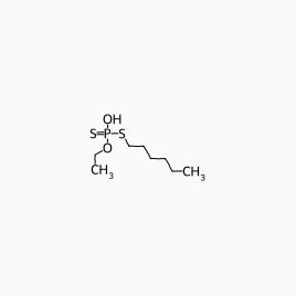 CCCCCCSP(O)(=S)OCC